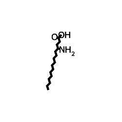 CCCCCCCCCCCCC(N)CCC(=O)O